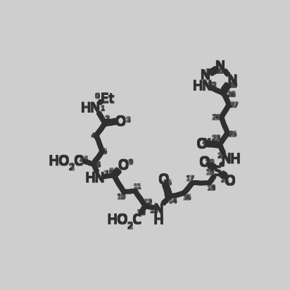 CCNC(=O)CCC(NC(=O)CCC(NC(=O)CCCS(=O)(=O)NC(=O)CCCc1nnn[nH]1)C(=O)O)C(=O)O